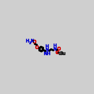 CC(C)(C)OC(=O)NCCCNC(=N)c1ccc(OCCON)cc1